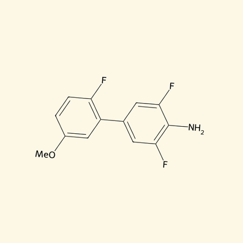 COc1ccc(F)c(-c2cc(F)c(N)c(F)c2)c1